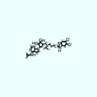 CC(C)N(CCCCc1nc2cc(Cl)c(Cl)cc2[nH]1)C[C@H]1C[C@@H](n2ccc3c(NC4CC4)ncnc32)[C@H](O)[C@@H]1O